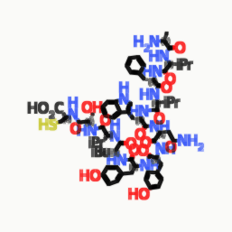 CC[C@H](C)[C@H](NC(=O)[C@H](Cc1ccc(O)cc1)NC(=O)[C@H](Cc1ccc(O)cc1)NC(=O)[C@H](CC(N)=O)NC(=O)[C@H](Cc1c[nH]c2ccccc12)NC(=O)[C@@H](NC(=O)[C@H](Cc1ccccc1)NC(=O)[C@@H](NC(=O)[C@H](C)N)C(C)C)C(C)C)C(=O)N[C@H](C(=O)N[C@@H](CO)C(=O)N[C@@H](CS)C(=O)O)C(C)C